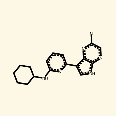 Clc1cnc2[nH]cc(-c3cccc(NC4CCCCC4)n3)c2n1